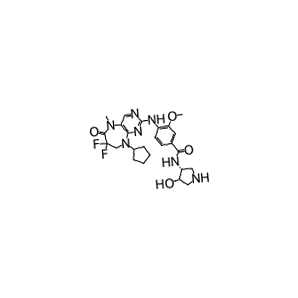 COc1cc(C(=O)N[C@@H]2CNC[C@H]2O)ccc1Nc1ncc2c(n1)N(C1CCCC1)CC(F)(F)C(=O)N2C